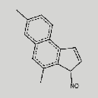 Cc1ccc2c3c(c(C)cc2c1)C(N=O)C=C3